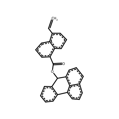 C=Cc1cccc2c(C(=O)OC3c4ccccc4-c4cccc5cccc3c45)cccc12